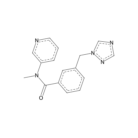 CN(C(=O)c1cccc(Cn2cncn2)c1)c1cccnc1